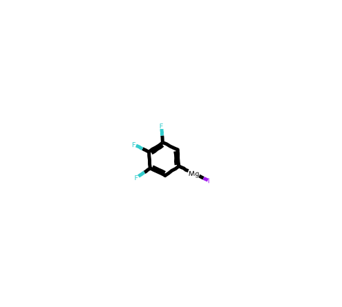 Fc1c[c]([Mg][I])cc(F)c1F